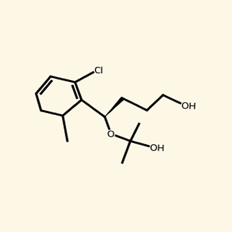 CC1CC=CC(Cl)=C1[C@@H](CCCO)OC(C)(C)O